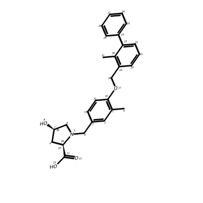 Cc1cc(CN2C[C@H](O)C[C@@H]2C(=O)O)ccc1OCc1cccc(-c2ccccc2)c1C